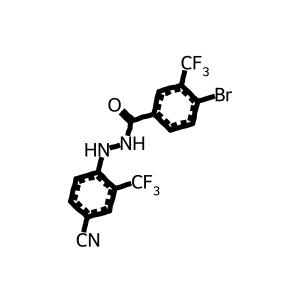 N#Cc1ccc(NNC(=O)c2ccc(Br)c(C(F)(F)F)c2)c(C(F)(F)F)c1